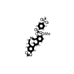 COc1ccc2c(c1OS(=O)(=O)c1ccc(S(C)(=O)=O)cc1)/C=N/CCc1cc3c(cc1/C(C)=C/2)OCO3